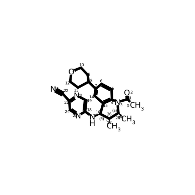 CC(=O)N1c2ccc(C3CCOCC3)cc2[C@H](Nc2cnc(C#N)cn2)[C@@H](C)[C@@H]1C